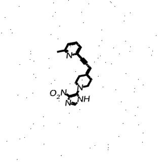 Cc1cccc(C#CC=C2CCN(c3[nH]cnc3[N+](=O)[O-])CC2)n1